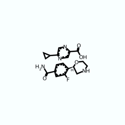 NC(=O)c1ccc([C@@H]2CNCCO2)c(F)c1.O=C(O)c1cnc(C2CC2)cn1